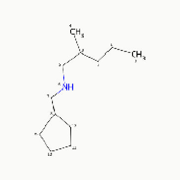 CCCC(C)CNCC1CCCC1